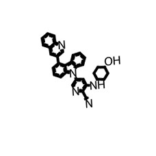 N#Cc1ncc(-n2c3ccccc3c3c(-c4cnc5ccccc5c4)cccc32)cc1N[C@H]1CC[C@H](O)CC1